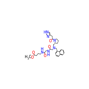 COC(=O)CCCNC(=O)CNC(=O)CN(Cc1cccc2ccccc12)C[C@@H]1CCCN1C(=O)Cc1c[nH]cn1